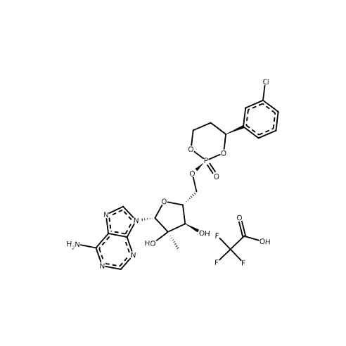 C[C@@]1(O)[C@H](O)[C@@H](CO[P@@]2(=O)OCC[C@@H](c3cccc(Cl)c3)O2)O[C@H]1n1cnc2c(N)ncnc21.O=C(O)C(F)(F)F